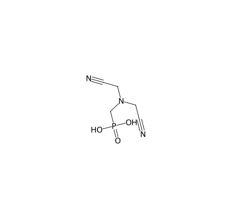 N#CCN(CC#N)CP(=O)(O)O